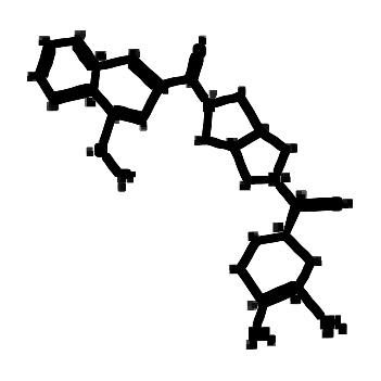 CC(C)Oc1cc(C(=O)N2CC3CN(C(=O)[C@@H]4CCC(N)=C(N)C4)CC3C2)cc2ccccc12